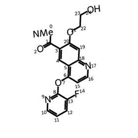 CNC(=O)c1cc2c(Oc3ncccc3F)ccnc2cc1OCCO